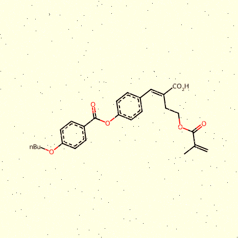 C=C(C)C(=O)OCCC(=Cc1ccc(OC(=O)c2ccc(OCCCC)cc2)cc1)C(=O)O